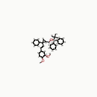 COc1ccc(/C=C/C2(c3ccccc3)CC2CO[Si](c2ccccc2)(c2ccccc2)C(C)(C)C)cc1OC